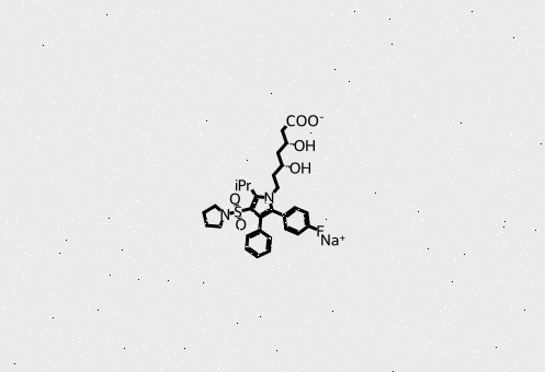 CC(C)c1c(S(=O)(=O)N2CCCC2)c(-c2ccccc2)c(-c2ccc(F)cc2)n1CC[C@@H](O)C[C@@H](O)CC(=O)[O-].[Na+]